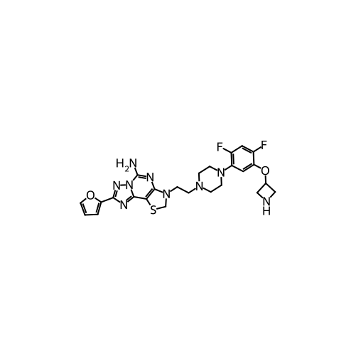 Nc1nc2c(c3nc(-c4ccco4)nn13)SCN2CCN1CCN(c2cc(OC3CNC3)c(F)cc2F)CC1